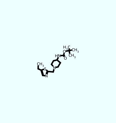 CCc1cnc(CN2CCC(NC(=O)OC(C)(C)C)CC2)s1